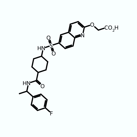 CC(NC(=O)C1CCC(NS(=O)(=O)c2ccc3nc(OCC(=O)O)ccc3c2)CC1)c1ccc(F)cc1